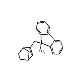 CC1(CC2=CC3CCC2C3)c2ccccc2-c2ccccc21